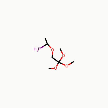 COC(COC(C)P)(OC)OC